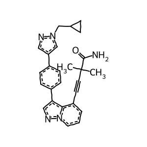 CC(C)(C#Cc1cccn2ncc(-c3ccc(-c4cnn(CC5CC5)c4)cc3)c12)C(N)=O